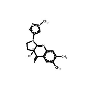 Cc1cc2c(cc1C)C(=O)[C@]1(O)CCN(c3cnn(C)c3)C1=N2